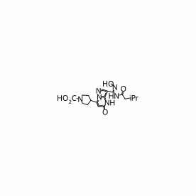 CC(C)CC(=O)N/C(=N/O)c1cnn2c(C3CCN(C(=O)O)CC3)cc(=O)[nH]c12